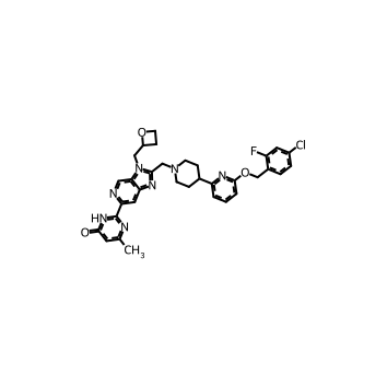 Cc1cc(=O)[nH]c(-c2cc3nc(CN4CCC(c5cccc(OCc6ccc(Cl)cc6F)n5)CC4)n(CC4CCO4)c3cn2)n1